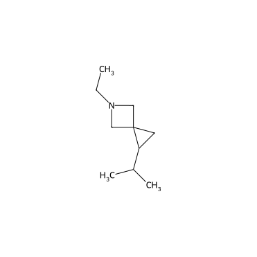 CCN1CC2(CC2C(C)C)C1